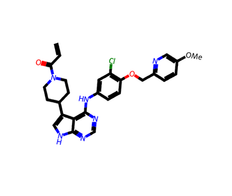 C=CC(=O)N1CCC(c2c[nH]c3ncnc(Nc4ccc(OCc5ccc(OC)cn5)c(Cl)c4)c23)CC1